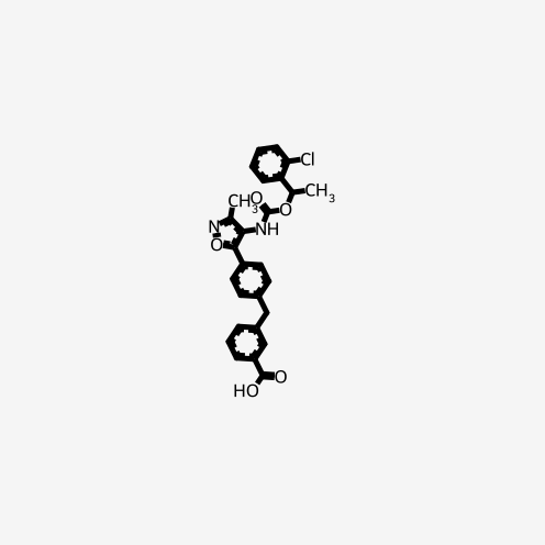 Cc1noc(-c2ccc(Cc3cccc(C(=O)O)c3)cc2)c1NC(=O)OC(C)c1ccccc1Cl